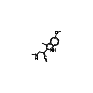 C=C=C(CNC)c1[nH]c2ccc(OC)cc2c1C